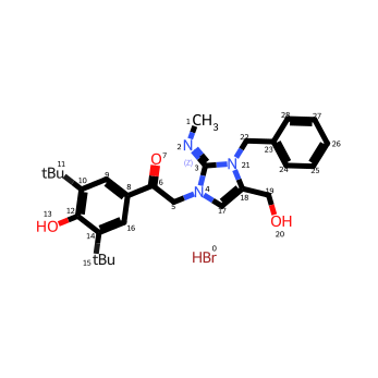 Br.C/N=c1/n(CC(=O)c2cc(C(C)(C)C)c(O)c(C(C)(C)C)c2)cc(CO)n1Cc1ccccc1